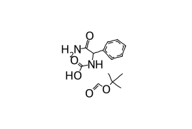 CC(C)(C)OC=O.NC(=O)C(NC(=O)O)c1ccccc1